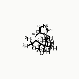 [2H]C1([2H])OC(=O)[C@@]([2H])(C([2H])([2H])C([2H])([2H])[2H])[C@H]1Cc1cncn1C([2H])([2H])[2H]